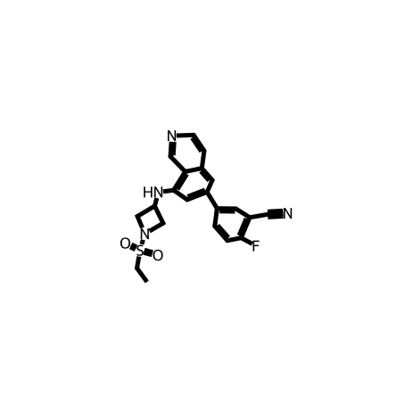 CCS(=O)(=O)N1CC(Nc2cc(-c3ccc(F)c(C#N)c3)cc3ccncc23)C1